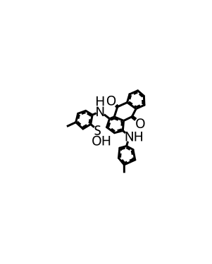 Cc1ccc(Nc2ccc(Nc3ccc(C)cc3SO)c3c2C(=O)c2ccccc2C3=O)cc1